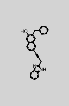 Oc1cc2ccc(C#CCc3nc4ccccc4[nH]3)cc2cc1Cc1ccccc1